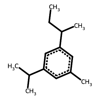 CCC(C)c1cc(C)cc(C(C)C)c1